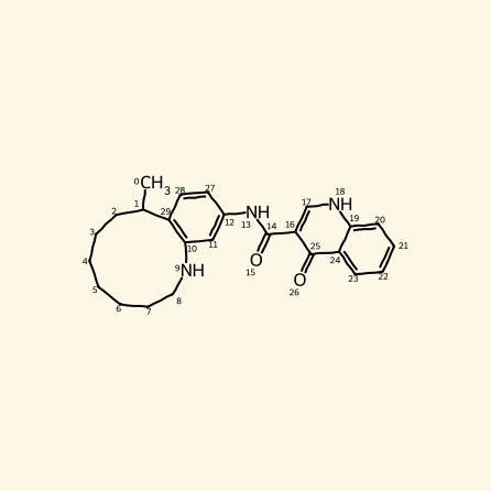 CC1CCCCCCCNc2cc(NC(=O)c3c[nH]c4ccccc4c3=O)ccc21